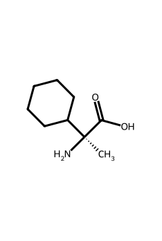 C[C@@](N)(C(=O)O)C1CCCCC1